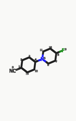 N#CC1CCC(N2CCC(F)CC2)CC1